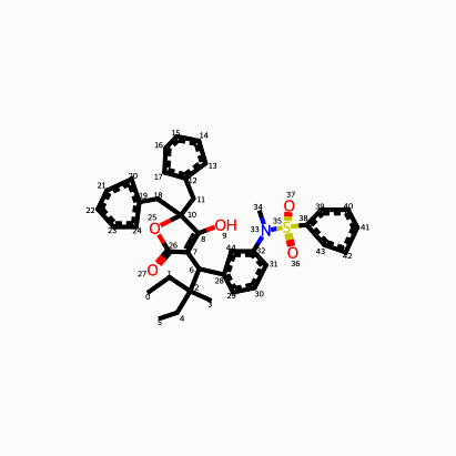 CCC(C)(CC)C(C1=C(O)C(Cc2ccccc2)(Cc2ccccc2)OC1=O)c1cccc(N(C)S(=O)(=O)c2ccccc2)c1